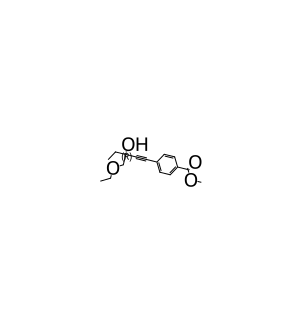 CCOC[C@](O)(C#Cc1ccc(C(=O)OC)cc1)CC